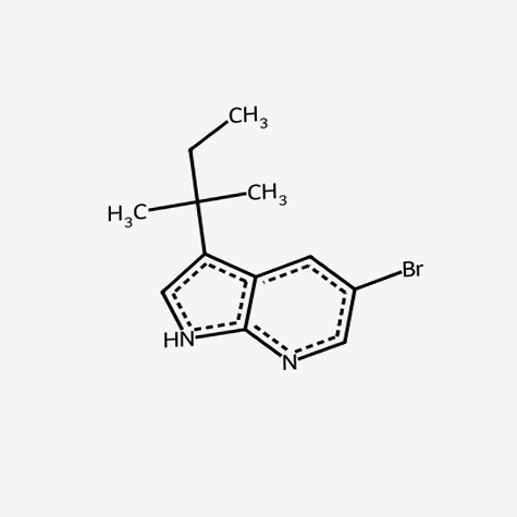 CCC(C)(C)c1c[nH]c2ncc(Br)cc12